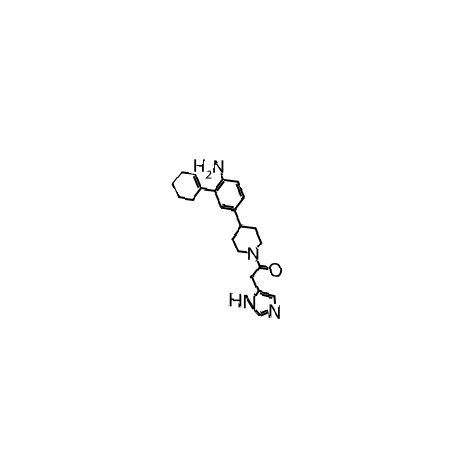 Nc1ccc(C2CCN(C(=O)Cc3cnc[nH]3)CC2)cc1C1=CCCCC1